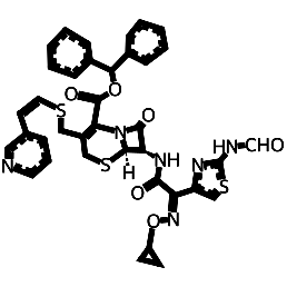 O=CNc1nc(/C(=N/OC2CC2)C(=O)N[C@@H]2C(=O)N3C(C(=O)OC(c4ccccc4)c4ccccc4)=C(CS/C=C\c4cccnc4)CS[C@H]23)cs1